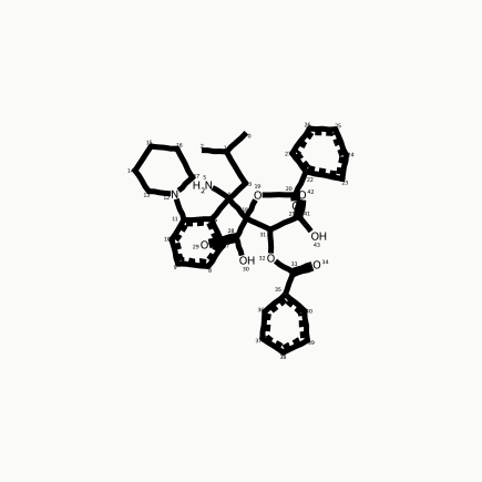 CC(C)CC(N)(c1ccccc1N1CCCCC1)C(OC(=O)c1ccccc1)(C(=O)O)C(OC(=O)c1ccccc1)C(=O)O